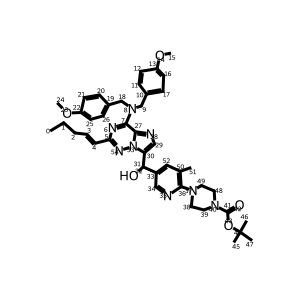 CCC/C=C/c1nc(N(Cc2ccc(OC)cc2)Cc2ccc(OC)cc2)c2ncc(C(O)c3cnc(N4CCN(C(=O)OC(C)(C)C)CC4)c(C)c3)n2n1